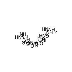 Cn1cc(NC(=O)c2cc(NC(=O)c3cc(NC(=O)CNC(=N)N)cn3C)cn2C)cc1C(=O)NCCC(=N)N